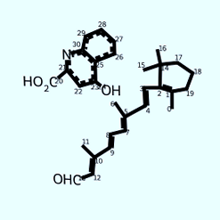 CC1=C(/C=C/C(C)=C/C=C/C(C)=C/C=O)C(C)(C)CCC1.O=C(O)c1cc(O)c2ccccc2n1